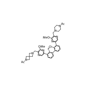 COc1nc(-c2cccc(-c3cccc(-c4cnc(CN5CCN(C(C)=O)CC5)c(OC)n4)c3Cl)c2F)cnc1CN1CC2(C1)CN(C(C)=O)C2